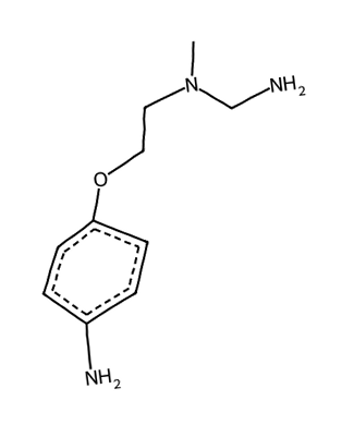 CN(CN)CCOc1ccc(N)cc1